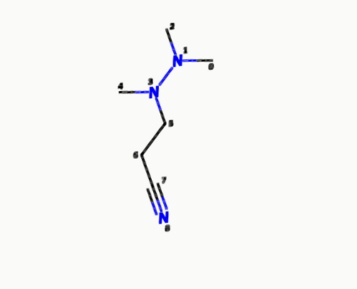 CN(C)N(C)CCC#N